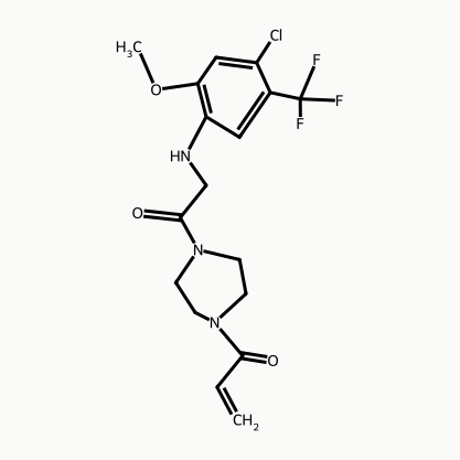 C=CC(=O)N1CCN(C(=O)CNc2cc(C(F)(F)F)c(Cl)cc2OC)CC1